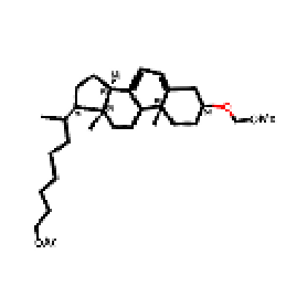 COCO[C@H]1CC[C@@]2(C)C(=CC=C3C2CC[C@]2(C)[C@@H](C(C)CCCCCCOC(C)=O)CC[C@@H]32)C1